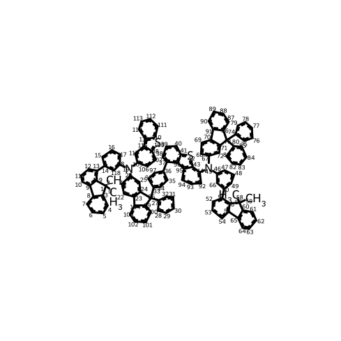 CC1(C)c2ccccc2-c2cccc(-c3cccc(N(c4ccc5c(c4)C(c4ccccc4)(c4ccc(-c6cccc7sc8c(N(c9cccc(-c%10cccc%11c%10C(C)(C)c%10ccccc%10-%11)c9)c9ccc%10c(c9)C(c9ccccc9)(c9ccccc9)c9ccccc9-%10)cccc8c67)cc4)c4ccccc4-5)c4ccc5sc6ccccc6c5c4)c3)c21